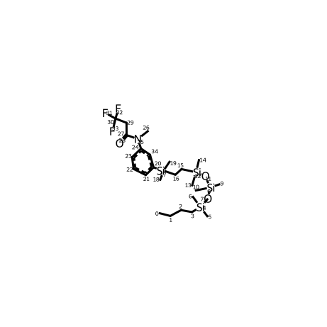 CCCC[Si](C)(C)O[Si](C)(C)O[Si](C)(C)CC[Si](C)(C)c1cccc(N(C)C(=O)CC(F)(F)F)c1